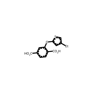 CCc1csc(Oc2cc(C(=O)O)ccc2C(=O)O)c1